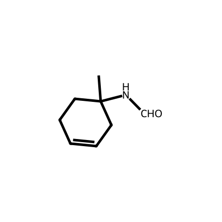 CC1(NC=O)CC=CCC1